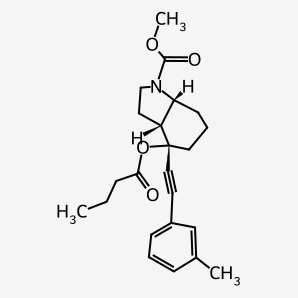 CCCC(=O)O[C@@]1(C#Cc2cccc(C)c2)CCC[C@@H]2[C@H]1CCN2C(=O)OC